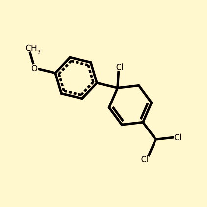 COc1ccc(C2(Cl)C=CC(C(Cl)Cl)=CC2)cc1